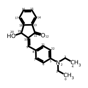 CCN(CC)c1ccc(/C=C2\C(=O)c3ccccc3C2O)cc1